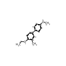 CCOc1ccc(-c2ccc(OC)cc2)cc1C